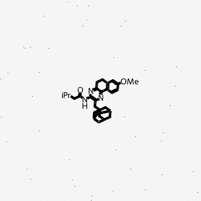 COc1ccc2c(c1)CCc1nc(NC(=O)CC(C)C)c(CC34CC5CC(CC(C5)C3)C4)nc1-2